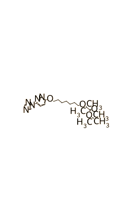 CC(C)(C)OC(=O)C(C)(C)OCCCCCCCOc1ccc(-n2cncn2)nn1